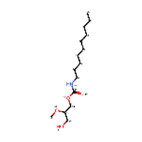 CCCCCCCCCCNC(=O)OCC(CO)OC